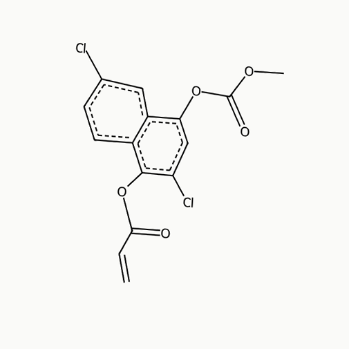 C=CC(=O)Oc1c(Cl)cc(OC(=O)OC)c2cc(Cl)ccc12